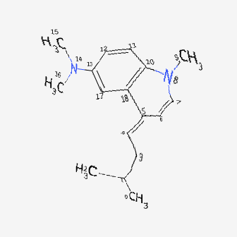 CC(C)C/C=C1\C=CN(C)c2ccc(N(C)C)cc21